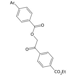 CCOC(=O)c1ccc(C(=O)COC(=O)c2ccc(C(C)=O)cc2)cc1